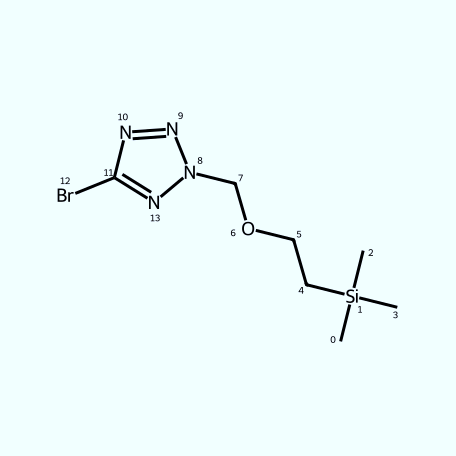 C[Si](C)(C)CCOCn1nnc(Br)n1